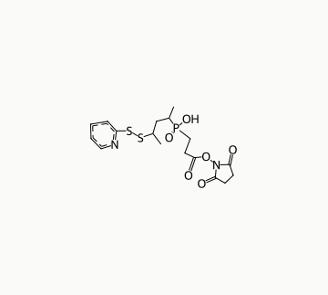 CC(CC(C)P(=O)(O)CCC(=O)ON1C(=O)CCC1=O)SSc1ccccn1